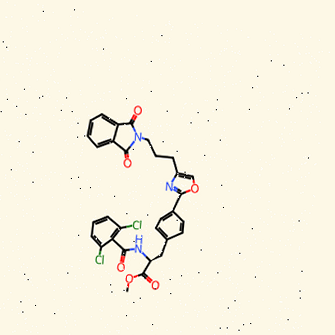 COC(=O)[C@H](Cc1ccc(-c2nc(CCCN3C(=O)c4ccccc4C3=O)co2)cc1)NC(=O)c1c(Cl)cccc1Cl